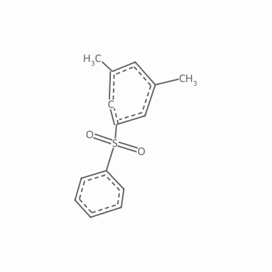 Cc1cc(C)cc(S(=O)(=O)c2ccccc2)c1